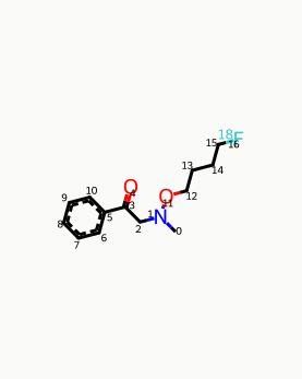 CN(CC(=O)c1ccccc1)OCCCC[18F]